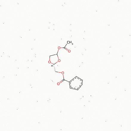 CC(=O)OC1CO[C@@H](COC(=O)c2ccccc2)O1